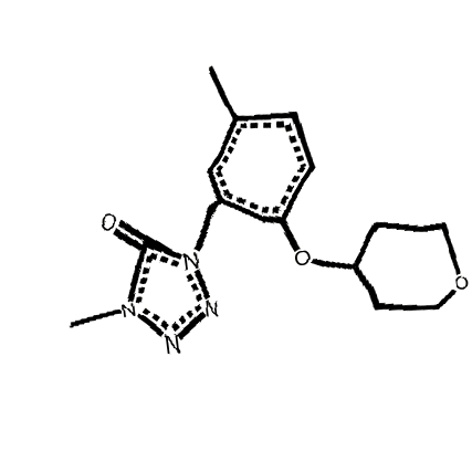 Cc1ccc(OC2CCOCC2)c(-n2nnn(C)c2=O)c1